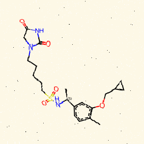 Cc1ccc([C@H](C)NS(=O)(=O)CCCCCN2CC(=O)NC2=O)cc1OCC1CC1